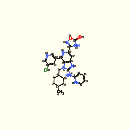 CC1CCC(Cn2c(Nc3ccccn3)nc3cc(-c4noc(=O)[nH]4)nc(-c4cncc(Cl)c4)c32)CC1